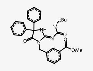 COC(=O)c1cccc(CN2C(=O)C(c3ccccc3)(c3ccccc3)NC2=NC(=O)OC(C)(C)C)c1